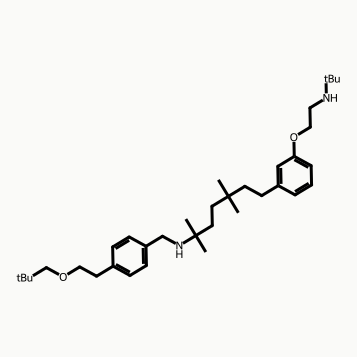 CC(C)(C)COCCc1ccc(CNC(C)(C)CCC(C)(C)CCc2cccc(OCCNC(C)(C)C)c2)cc1